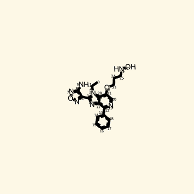 CCn1c(-c2nonc2N)nc2c(-c3ccccc3)ncc(OCCCNO)c21